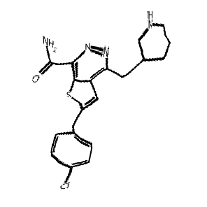 NC(=O)c1nnc(CC2CCCNC2)c2cc(-c3ccc(Cl)cc3)sc12